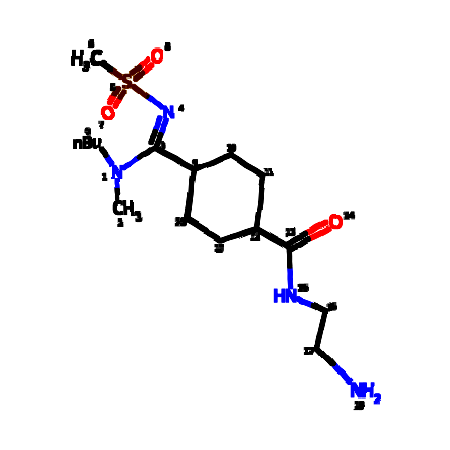 CCCCN(C)C(=NS(C)(=O)=O)C1CCC(C(=O)NCCN)CC1